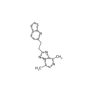 Cc1ncc(C)n2nc(CCc3ccc4ccsc4n3)nc12